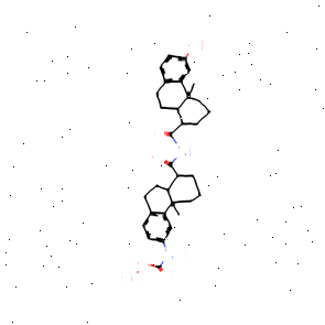 CC(C)(C)OC(=O)Nc1ccc2c(c1)C1(C)CCCC(C(=O)NC(=O)C3CCCC4(C)c5cc(O)ccc5CCC34)C1CC2